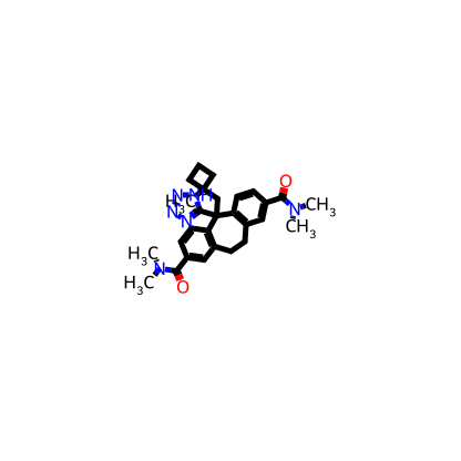 CN(C)C(=O)c1ccc2c(c1)CCc1cc(C(=O)N(C)C)ccc1C2(CC1(C)CCC1)c1nnn[nH]1